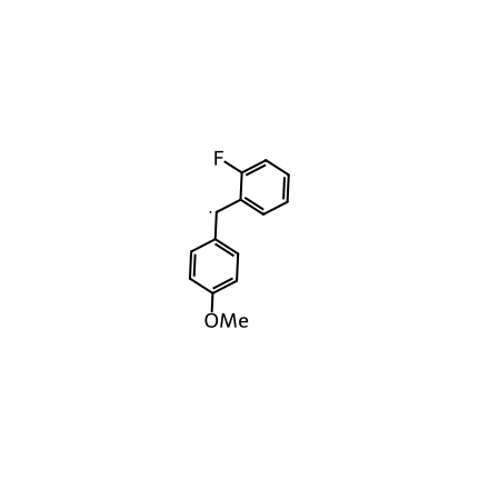 COc1ccc([CH]c2ccccc2F)cc1